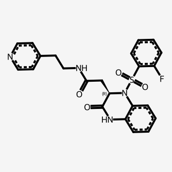 O=C(C[C@@H]1C(=O)Nc2ccccc2N1S(=O)(=O)c1ccccc1F)NCCc1ccncc1